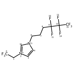 FC(F)(F)C[n+]1ccn(CCCC(F)(F)C(F)(F)C(F)(F)F)c1